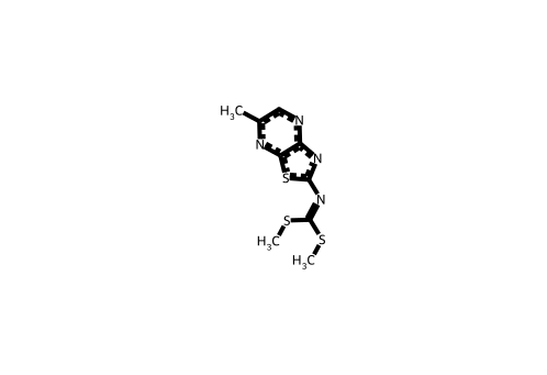 CSC(=Nc1nc2ncc(C)nc2s1)SC